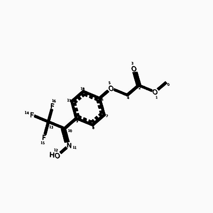 COC(=O)COc1ccc(C(=NO)C(F)(F)F)cc1